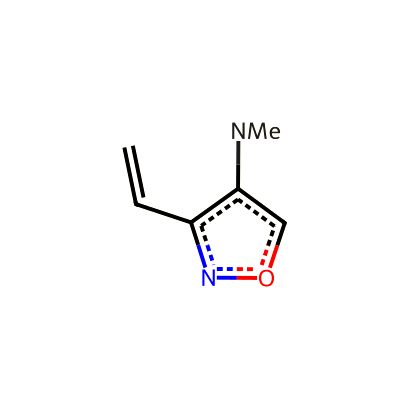 C=Cc1nocc1NC